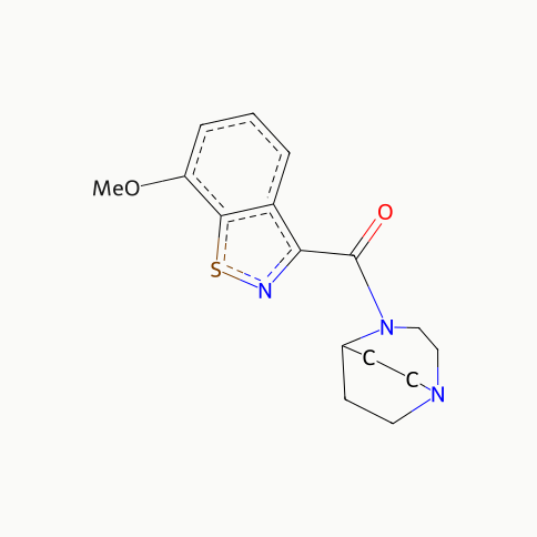 COc1cccc2c(C(=O)N3CCN4CCC3CC4)nsc12